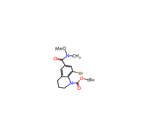 CON(C)C(=O)c1cc(Br)c2c(c1)CCCN2C(=O)OC(C)(C)C